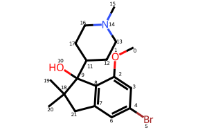 COc1cc(Br)cc2c1C(O)(C1CCN(C)CC1)C(C)(C)C2